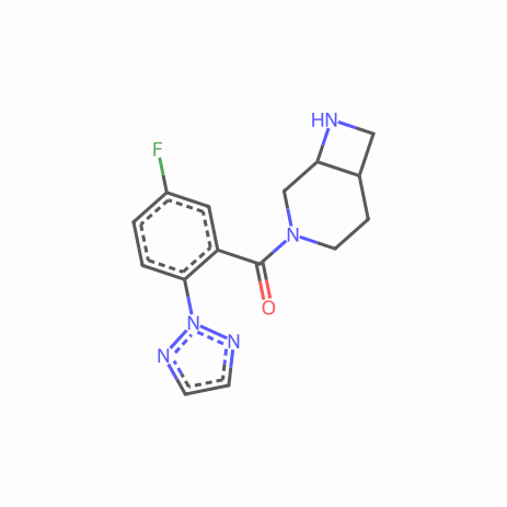 O=C(c1cc(F)ccc1-n1nccn1)N1CCC2CNC2C1